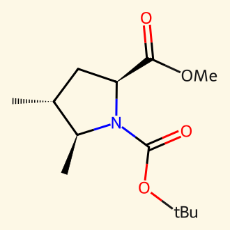 COC(=O)[C@@H]1C[C@@H](C)[C@H](C)N1C(=O)OC(C)(C)C